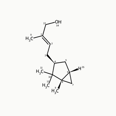 C/C(=C\C[C@H]1C[C@@H]2C[C@]2(C)C1(C)C)CO